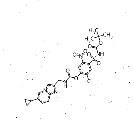 CC(C)(C)OC(=O)NS(=O)(=O)c1cc(Cl)c(OC(=O)NCc2cn3cc(C4CC4)ccc3n2)cc1[N+](=O)[O-]